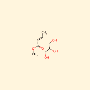 CC=CC(=O)OC.OCC(O)CO